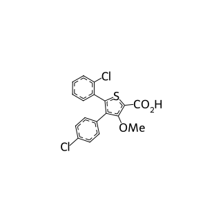 COc1c(C(=O)O)sc(-c2ccccc2Cl)c1-c1ccc(Cl)cc1